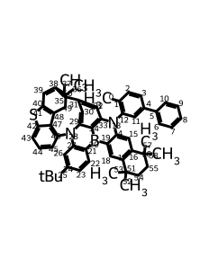 Cc1ccc(-c2ccccc2)cc1N1c2cc3c(cc2B2c4ccc(C(C)(C)C)cc4N4c5cc(cc1c52)C(C)(C)C1=Cc2sc5cccc4c5c2CC1)C(C)(C)CCC3(C)C